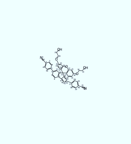 N#Cc1ccc(-c2ccc3c(c2)C2(c4ccc(OCCO)cc4Oc4cc(OCCO)ccc42)c2cc(-c4ccc(C#N)cc4)ccc2-3)cc1